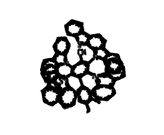 Cc1ccc(-c2c(-n3c4ccccc4c4ccccc43)c(-n3c4ccccc4c4ccc5c6ccccc6sc5c43)c(C#N)c(-n3c4ccccc4c4ccc5c6ccccc6sc5c43)c2-n2c3ccccc3c3ccccc32)cc1C